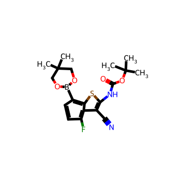 CC1(C)COB(c2ccc(F)c3c(C#N)c(NC(=O)OC(C)(C)C)sc23)OC1